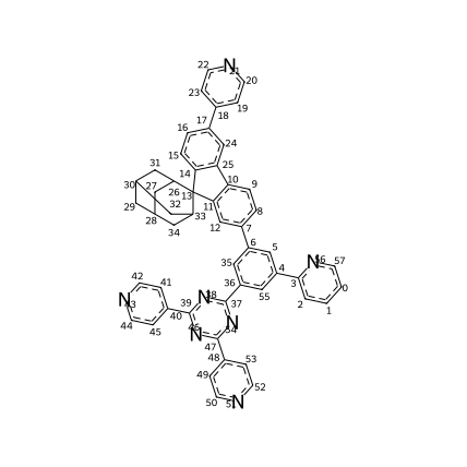 c1ccc(-c2cc(-c3ccc4c(c3)C3(c5ccc(-c6ccncc6)cc5-4)C4CC5CC(C4)CC3C5)cc(-c3nc(-c4ccncc4)nc(-c4ccncc4)n3)c2)nc1